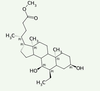 CC[C@@H]1C2C[C@H](O)CC[C@]2(C)C2CC[C@@]3(C)C(CC[C@@H]3[C@H](C)CCC(=O)OC)C2[C@@H]1O